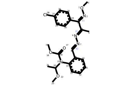 CO/N=C(/C(C)=N/N=C/c1ccccc1N(C(=O)OC)C(C)OC)c1ccc(Cl)cc1